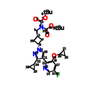 CC(C)(C)OC(=O)N(C[C@H]1C[C@H](n2cc(-c3ncc(F)cc3OC3CC3)c(C3CC3)n2)C1)C(=O)OC(C)(C)C